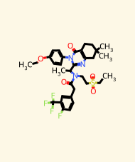 CCOc1ccc(-n2c(C(C)N(CCS(=O)(=O)CC)C(=O)Cc3ccc(F)c(C(F)(F)F)c3)nc3c(c2=O)CCC(C)(C)C3)cc1